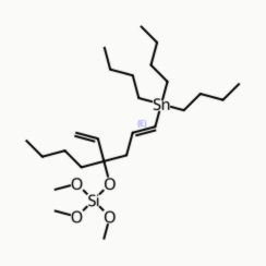 C=CC(C/C=[CH]/[Sn]([CH2]CCC)([CH2]CCC)[CH2]CCC)(CCCC)O[Si](OC)(OC)OC